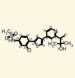 CC(C)(O)C(I)c1cc(-c2csc(-c3ccc(NS(C)(=O)=O)cc3Cl)c2)ccn1